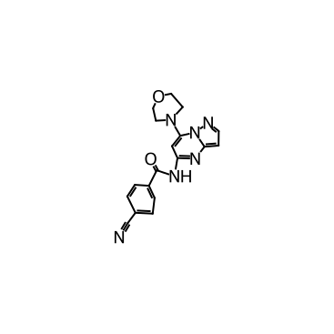 N#Cc1ccc(C(=O)Nc2cc(N3CCOCC3)n3nccc3n2)cc1